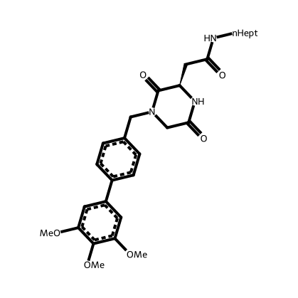 CCCCCCCNC(=O)C[C@H]1NC(=O)CN(Cc2ccc(-c3cc(OC)c(OC)c(OC)c3)cc2)C1=O